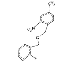 Cc1ccc(COCc2ccccc2F)c([N+](=O)[O-])c1